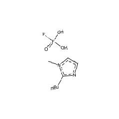 CCCCc1nccn1C.O=P(O)(O)F